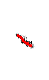 Cc1cc(N=Nc2ccc(C(=O)O)cc2)c(C)cc1N=Nc1ccc(C=Cc2ccc(N=Nc3cc(C)c(N=Nc4ccc(OC=O)cc4)cc3C)cc2S(=O)(=O)O)cc1